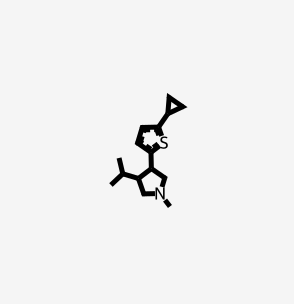 CC(C)C1CN(C)CC1c1ccc(C2CC2)s1